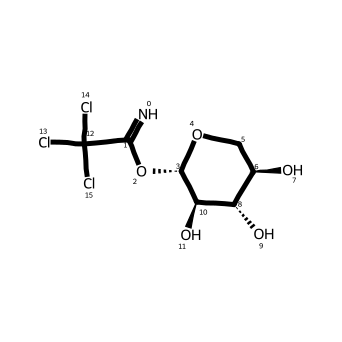 N=C(O[C@@H]1OC[C@@H](O)[C@H](O)[C@H]1O)C(Cl)(Cl)Cl